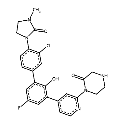 CN1CCN(c2ccc(-c3cc(F)cc(-c4ccnc(N5CCNCC5=O)c4)c3O)cc2Cl)C1=O